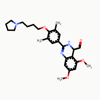 COc1cc2c(c(OC)c1)C(C=O)NC(c1cc(C)c(OCCCCN3CCCC3)c(C)c1)=N2